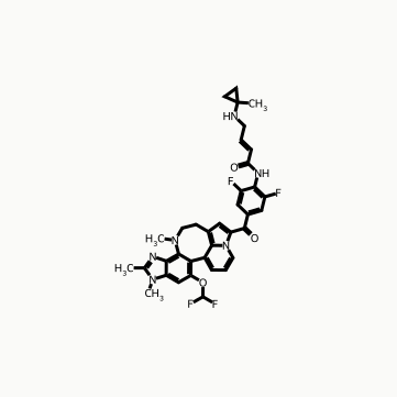 Cc1nc2c3c(c(OC(F)F)cc2n1C)-c1cccn2c(C(=O)c4cc(F)c(NC(=O)/C=C/CNC5(C)CC5)c(F)c4)cc(c12)CCN3C